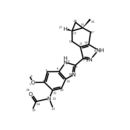 COc1cc2[nH]c(-c3n[nH]c4c3C[C@@H]3C[C@]3(C)C4)nc2cc1N(C)C(C)=O